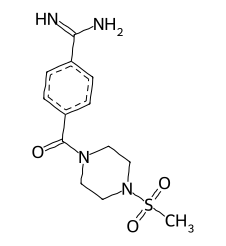 CS(=O)(=O)N1CCN(C(=O)c2ccc(C(=N)N)cc2)CC1